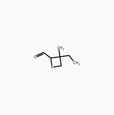 CCC1(C)CSC1C=O